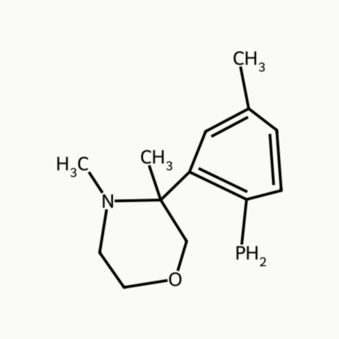 Cc1ccc(P)c(C2(C)COCCN2C)c1